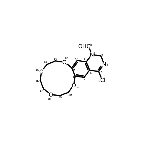 O=CN1CN=C(Cl)c2cc3c(cc21)OCCOCCOCCO3